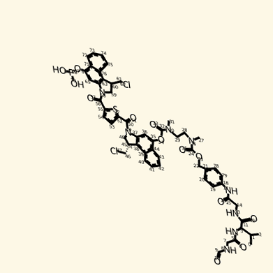 CC(C)C(NC(=O)CNC=O)C(=O)NCC(=O)Nc1ccc(COC(=O)N(C)CCN(C)C(=O)Oc2cc3c(c4ccccc24)[C@H](CCl)CN3C(=O)c2ccc(C(=O)N3CC(CCl)c4c3cc(OP(O)O)c3ccccc43)s2)cc1